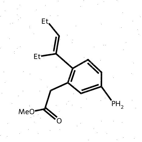 CC/C=C(\CC)c1ccc(P)cc1CC(=O)OC